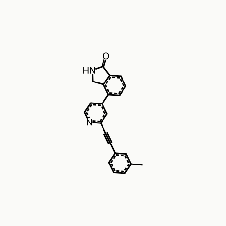 Cc1cccc(C#Cc2cc(-c3cccc4c3CNC4=O)ccn2)c1